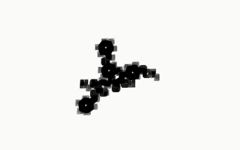 COc1ccc(C2Sc3cc(OCc4ccccc4)ccc3N(CCN(C)C(=O)OCc3ccccc3)C(=O)C2O)cc1